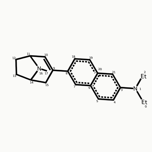 CCN(CC)c1ccc2cc(C3=CC4CCC(C3)N4C)ccc2c1